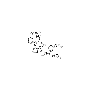 COCCCC[C@@](O)(c1ccccc1Oc1ccccc1C)[C@@H]1CCCN(C(=C[N+](=O)[O-])N2CC[C@@H](N)C2)C1